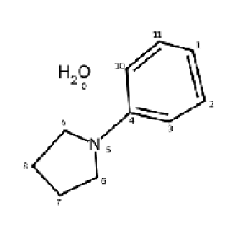 O.c1ccc(N2CCCC2)cc1